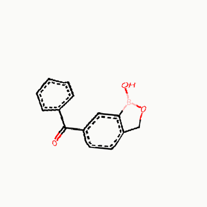 O=C(c1ccccc1)c1ccc2c(c1)B(O)OC2